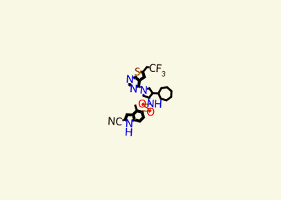 Cc1c(S(=O)(=O)NC2CN(c3ncnc4sc(CC(F)(F)F)cc34)CC2C2CCCCCC2)ccc2[nH]c(C#N)cc12